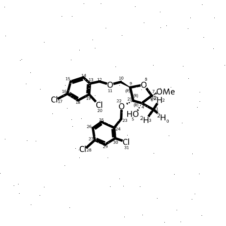 [2H]C([2H])([2H])[C@]1(O)[C@@H](OC)O[C@H](COCc2ccc(Cl)cc2Cl)[C@H]1OCc1ccc(Cl)cc1Cl